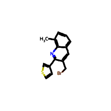 Cc1cccc2cc(CBr)c(-c3ccsc3)nc12